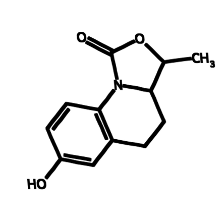 CC1OC(=O)N2c3ccc(O)cc3CCC12